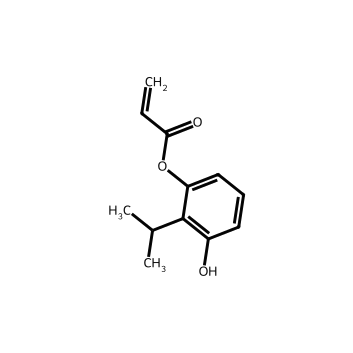 C=CC(=O)Oc1cccc(O)c1C(C)C